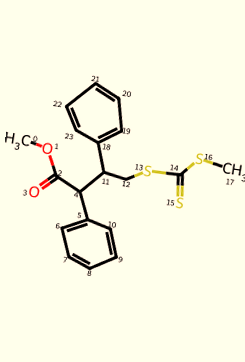 COC(=O)C(c1ccccc1)C(CSC(=S)SC)c1ccccc1